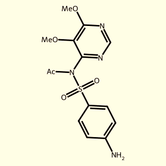 COc1ncnc(N(C(C)=O)S(=O)(=O)c2ccc(N)cc2)c1OC